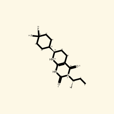 CC[C@H](C)n1c(=O)[nH]c2c(c1=O)CC[C@H](C1CCC(F)(F)CC1)N2